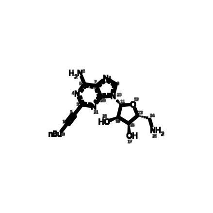 CCCCC#Cc1nc(N)c2ncn([C@@H]3O[C@H](CN)[C@@H](O)[C@H]3O)c2n1